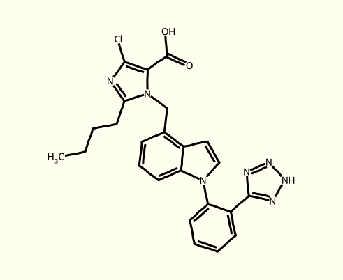 CCCCc1nc(Cl)c(C(=O)O)n1Cc1cccc2c1ccn2-c1ccccc1-c1nn[nH]n1